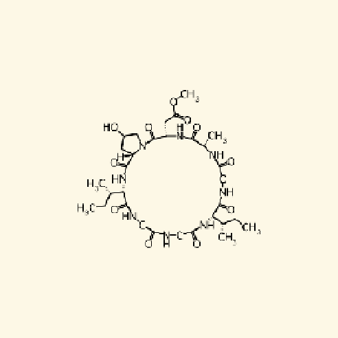 CC[C@H](C)[C@@H]1NC(=O)CNC(=O)CNC(=O)[C@H]([C@@H](C)CC)NC(=O)[C@@H]2C[C@@H](O)CN2C(=O)[C@H](CC(=O)OC)NC(=O)[C@H](C)NC(=O)CNC1=O